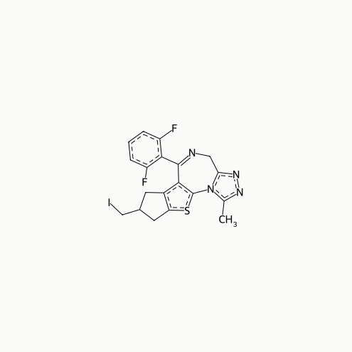 Cc1nnc2n1-c1sc3c(c1C(c1c(F)cccc1F)=NC2)CC(CI)C3